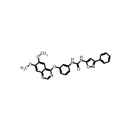 COc1cc2ncnc(Oc3cccc(NC(=O)Nc4cc(-c5ccccc5)no4)c3)c2cc1OC